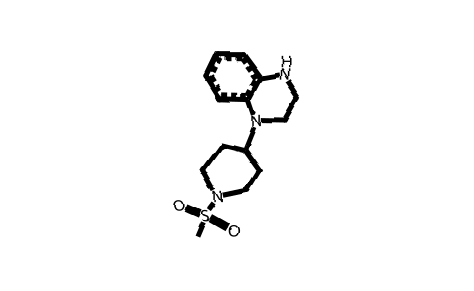 CS(=O)(=O)N1CCC(N2CCNc3ccccc32)CC1